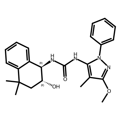 COc1nn(-c2ccccc2)c(NC(=O)N[C@@H]2c3ccccc3C(C)(C)C[C@H]2O)c1C